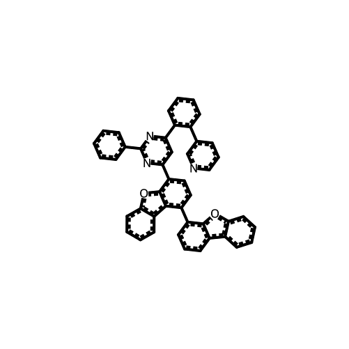 c1ccc(-c2nc(-c3ccccc3-c3cccnc3)cc(-c3ccc(-c4cccc5c4oc4ccccc45)c4c3oc3ccccc34)n2)cc1